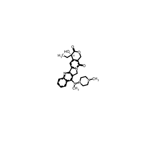 CC[C@@]1(O)C(=O)OCc2c1cc1n(c2=O)Cc2c-1nc1ccccc1c2N(C)N1CCN(C)CC1